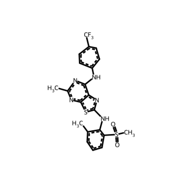 Cc1nc(Nc2ccc(C(F)(F)F)cc2)c2nc(Nc3c(C)cccc3S(C)(=O)=O)sc2n1